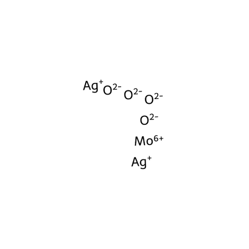 [Ag+].[Ag+].[Mo+6].[O-2].[O-2].[O-2].[O-2]